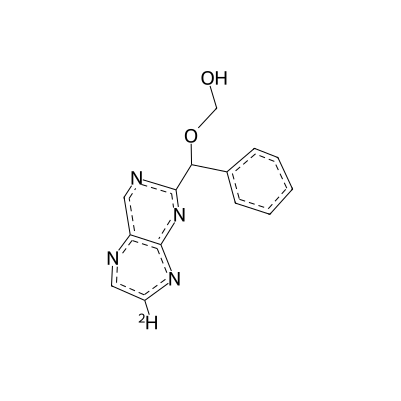 [2H]c1cnc2cnc(C(OCO)c3ccccc3)nc2n1